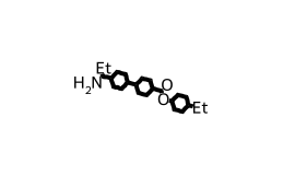 CCC1CCC(OC(=O)C2CCC(C3CCC(C(N)CC)CC3)CC2)CC1